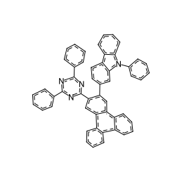 c1ccc(-c2nc(-c3ccccc3)nc(-c3cc4c5ccccc5c5ccccc5c4cc3-c3ccc4c5ccccc5n(-c5ccccc5)c4c3)n2)cc1